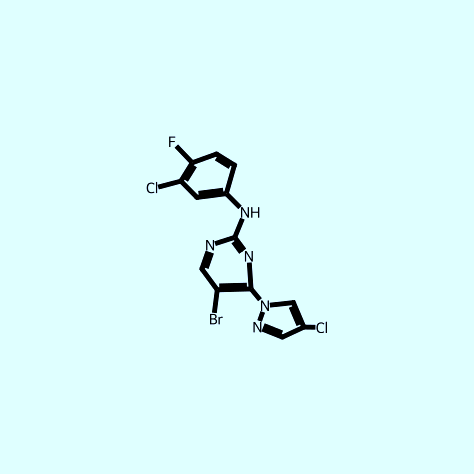 Fc1ccc(Nc2ncc(Br)c(-n3cc(Cl)cn3)n2)cc1Cl